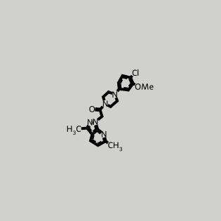 COc1cc(N2CCN(C(=O)Cn3nc(C)c4ccc(C)nc43)CC2)ccc1Cl